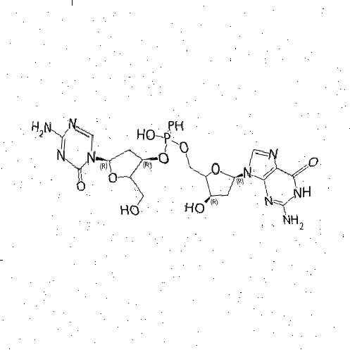 Nc1ncn([C@H]2C[C@@H](OP(O)(=P)OCC3O[C@@H](n4cnc5c(=O)[nH]c(N)nc54)C[C@H]3O)C(CO)O2)c(=O)n1